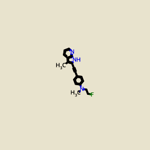 Cc1c(C#Cc2ccc(N(C)CCF)cc2)[nH]c2ncccc12